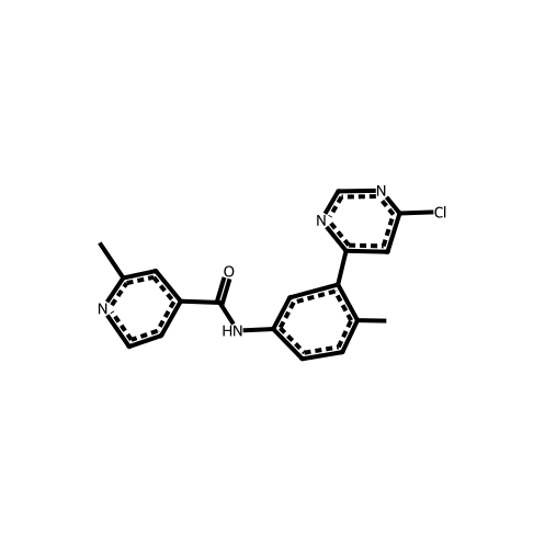 Cc1cc(C(=O)Nc2ccc(C)c(-c3cc(Cl)ncn3)c2)ccn1